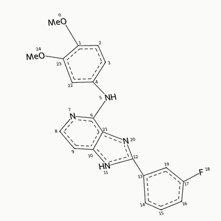 COc1ccc(Nc2nccc3[nH]c(-c4cccc(F)c4)nc23)cc1OC